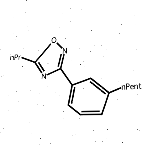 [CH2]CCc1nc(-c2cccc(CCCCC)c2)no1